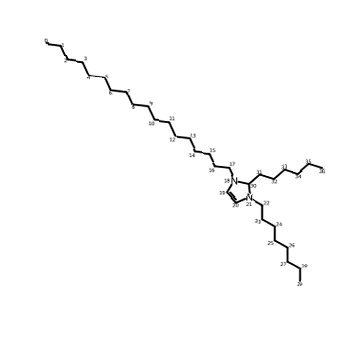 CCCCCCCCCCCCCCCCCCN1C=CN(CCCCCCCC)C1CCCCCC